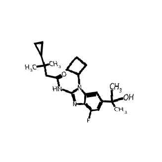 CC(C)(O)c1cc(F)c2nc(NC(=O)CC(C)(C)C3CC3)n(C3CCC3)c2c1